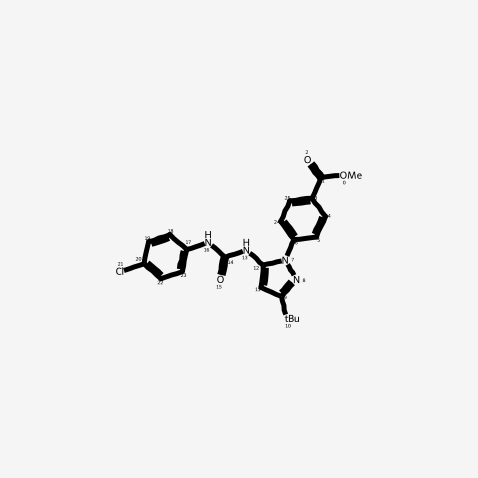 COC(=O)c1ccc(-n2nc(C(C)(C)C)cc2NC(=O)Nc2ccc(Cl)cc2)cc1